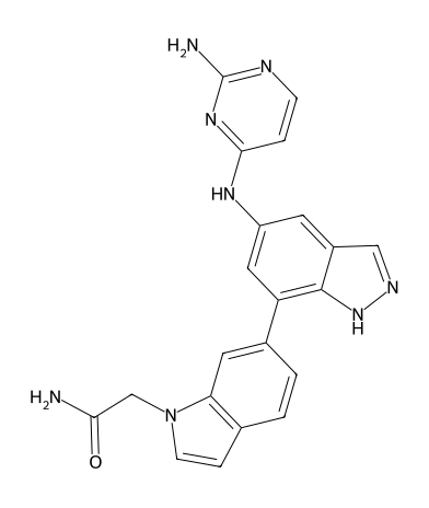 NC(=O)Cn1ccc2ccc(-c3cc(Nc4ccnc(N)n4)cc4cn[nH]c34)cc21